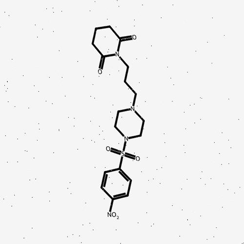 O=C1CCCC(=O)N1CCCN1CCN(S(=O)(=O)c2ccc([N+](=O)[O-])cc2)CC1